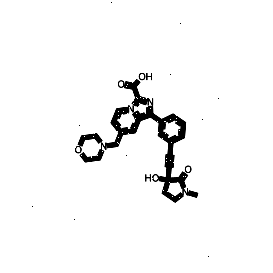 CN1CCC(O)(C#Cc2cccc(-c3nc(C(=O)O)n4ccc(CN5CCOCC5)cc34)c2)C1=O